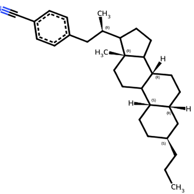 CCC[C@H]1CC[C@@H]2C3CC[C@@]4(C)C(CCC4[C@H](C)Cc4ccc(C#N)cc4)[C@@H]3CC[C@@H]2C1